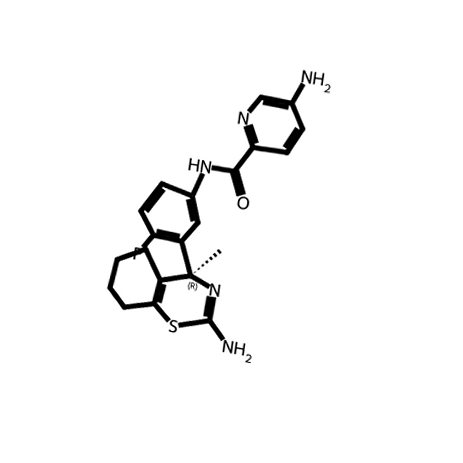 C[C@]1(c2cc(NC(=O)c3ccc(N)cn3)ccc2F)N=C(N)SC2=C1CCCC2